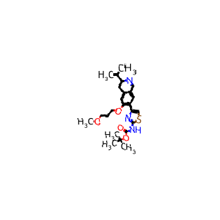 COCCCOc1cc2c(cc1-c1csc(NC(=O)OC(C)(C)C)n1)C=NC(C(C)C)C2